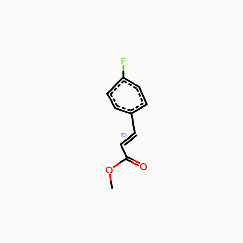 COC(=O)/C=C/c1ccc(F)cc1